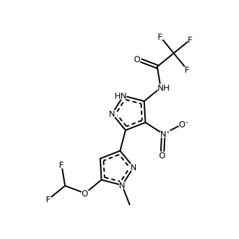 Cn1nc(-c2n[nH]c(NC(=O)C(F)(F)F)c2[N+](=O)[O-])cc1OC(F)F